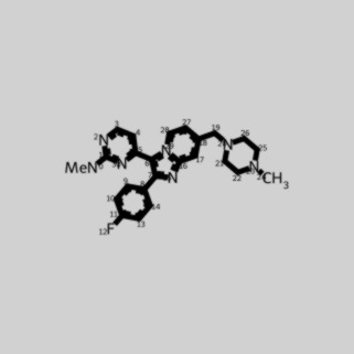 CNc1nccc(-c2c(-c3ccc(F)cc3)nc3cc(CN4CCN(C)CC4)ccn23)n1